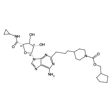 Nc1nc(CCCC2CCN(C(=O)OCC3CCCC3)CC2)nc2c1ncn2[C@@H]1O[C@H](C(=O)NC2CC2)C(O)[C@@H]1O